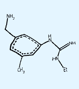 CCNC(=N)Nc1cc(C)cc(CN)c1